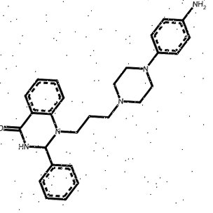 Nc1ccc(N2CCN(CCCN3c4ccccc4C(=O)NC3c3ccccc3)CC2)cc1